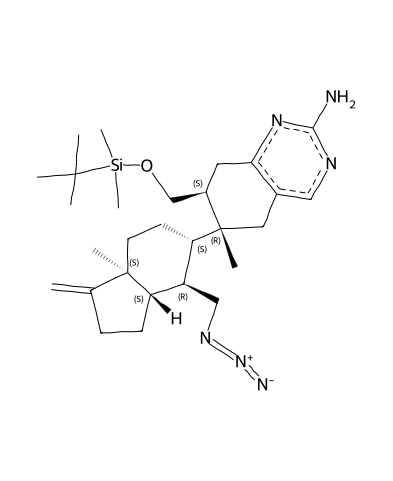 C=C1CC[C@H]2[C@H](CN=[N+]=[N-])[C@@H]([C@@]3(C)Cc4cnc(N)nc4C[C@@H]3CO[Si](C)(C)C(C)(C)C)CC[C@]12C